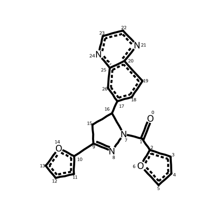 O=C(c1ccco1)N1N=C(c2ccco2)CC1c1ccc2nccnc2c1